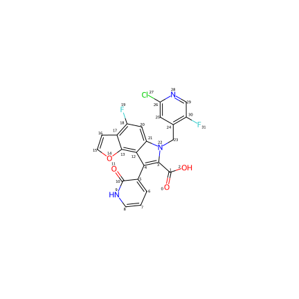 O=C(O)c1c(-c2ccc[nH]c2=O)c2c3occc3c(F)cc2n1Cc1cc(Cl)ncc1F